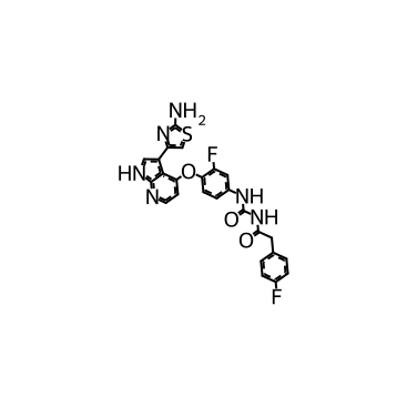 Nc1nc(-c2c[nH]c3nccc(Oc4ccc(NC(=O)NC(=O)Cc5ccc(F)cc5)cc4F)c23)cs1